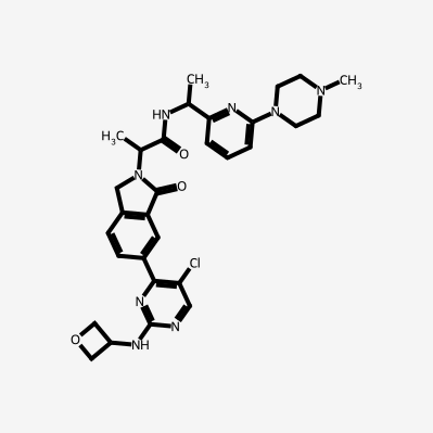 CC(NC(=O)C(C)N1Cc2ccc(-c3nc(NC4COC4)ncc3Cl)cc2C1=O)c1cccc(N2CCN(C)CC2)n1